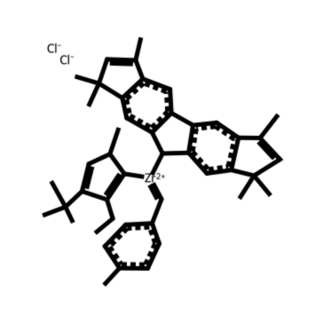 CCC1=[C](/[Zr+2](=[CH]\c2ccc(C)cc2)[CH]2c3cc4c(cc3-c3cc5c(cc32)C(C)(C)C=C5C)C(C)=CC4(C)C)C(C)C=C1C(C)(C)C.[Cl-].[Cl-]